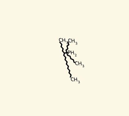 CCCCCCCCCCCCC(CCCCCC)C(P)(CCCCCC)CCCCCC